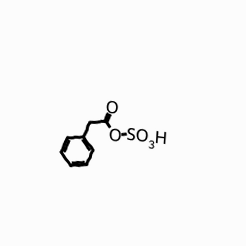 O=C(Cc1ccccc1)OS(=O)(=O)O